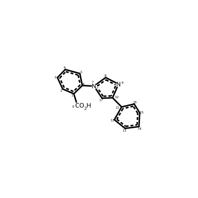 O=C(O)c1ccccc1-n1cnc(-c2ccccc2)c1